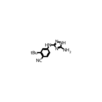 CC(C)(C)c1cc(Nc2n[nH]c(N)n2)ccc1C#N